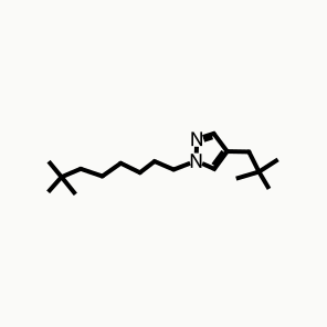 CC(C)(C)CCCCCCn1cc(CC(C)(C)C)cn1